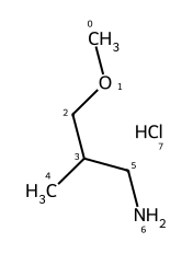 COCC(C)CN.Cl